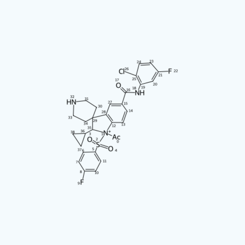 CC(=O)[N+]1(S(=O)(=O)c2ccc(F)cc2)c2ccc(C(=O)Nc3cc(F)ccc3Cl)cc2C2(CCNCC2)C1C1CC1